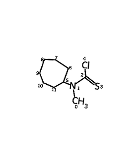 CN(C(=S)Cl)C1CCCCCC1